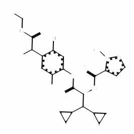 CC(=O)Nc1cc(NC(=O)[C@@H](NC(=O)c2ccnn2C(C)C)C(C2CC2)C2CC2)c(F)cc1C(C)C(=O)NCC(F)(F)F